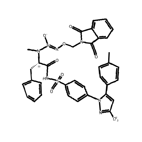 Cc1ccc(-c2cc(C(F)(F)F)nn2-c2ccc(S(=O)(=O)NC(=O)[C@H](Cc3ccccc3)N(C)[N+]([O-])=NOCN3C(=O)c4ccccc4C3=O)cc2)cc1